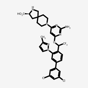 Cc1ccn(-c2cc(-c3cc(Cl)cc(Cl)c3)ccc2C(Oc2cc(N3CCC4(CC3)CN[C@H](C(=O)O)C4)nc(N)n2)C(F)(F)F)n1